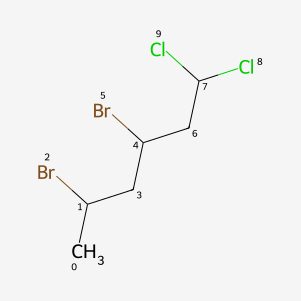 CC(Br)CC(Br)CC(Cl)Cl